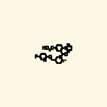 C[C@@H]1CCC(COc2ccc(F)cn2)CN1C(=O)c1cc(C(=O)O)ccc1-n1nccn1